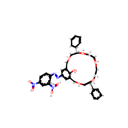 O=[N+]([O-])c1ccc(N=Nc2cc3c(O)c(c2)COC[C@H](C2C=CC=CC2)OCCOCCO[C@@H](c2ccccc2)COC3)c([N+](=O)[O-])c1